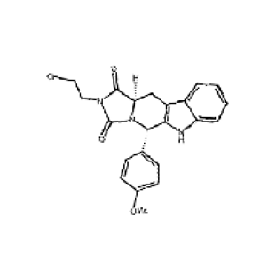 COc1ccc([C@H]2c3[nH]c4ccccc4c3C[C@@H]3C(=O)N(CCCl)C(=O)N23)cc1